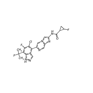 CC(C)(F)c1c(F)c(Cl)c(-c2cn3cc(NC(=O)C4CC4F)nc3cn2)c2cn[nH]c12